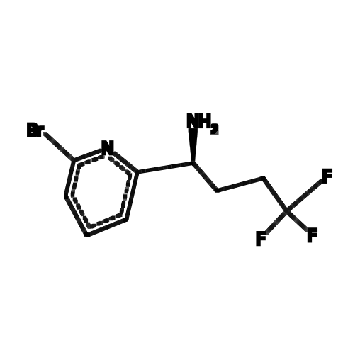 N[C@@H](CCC(F)(F)F)c1cccc(Br)n1